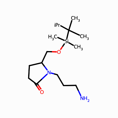 CC(C)C(C)(C)[Si](C)(C)OCC1CCC(=O)N1CCCN